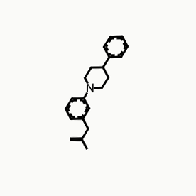 C=C(C)Cc1cccc(N2CCC(c3ccccc3)CC2)c1